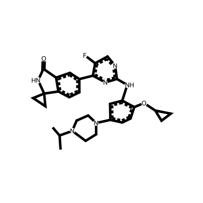 CC(C)N1CCN(c2ccc(OC3CC3)c(Nc3ncc(F)c(-c4ccc5c(c4)C(=O)NC54CC4)n3)c2)CC1